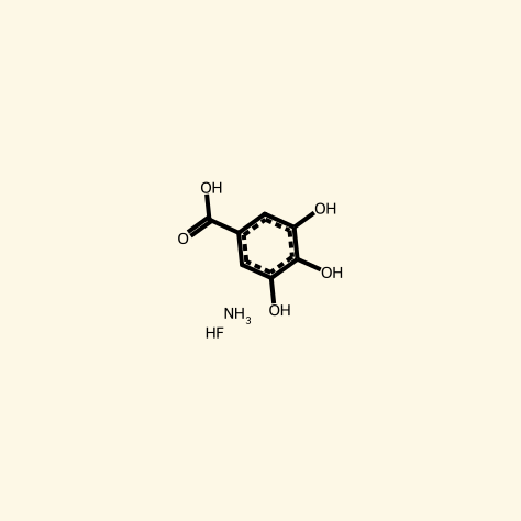 F.N.O=C(O)c1cc(O)c(O)c(O)c1